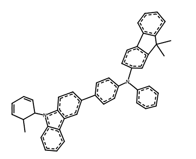 CC1C=CC=CC1n1c2ccccc2c2cc(-c3ccc(N(c4ccccc4)c4ccc5c(c4)C(C)(C)c4ccccc4-5)cc3)ccc21